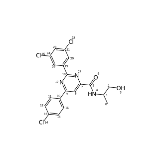 CC(CO)NC(=O)c1cc(-c2ccc(Cl)cc2)nc(-c2cc(Cl)cc(Cl)c2)n1